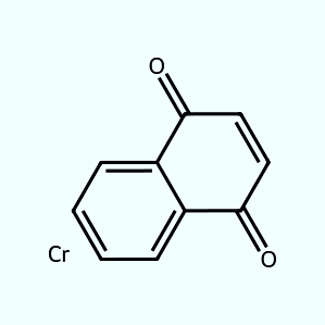 O=C1C=CC(=O)c2ccccc21.[Cr]